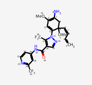 C=C/C=C\C1(OC)CC(N)=C(OC)C=C1n1ncc(C(=O)Nc2ccnc(C(F)(F)F)c2)c1C(F)(F)F